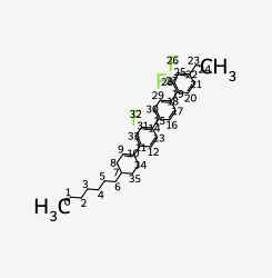 CCCCCCCC1CC=C(c2ccc(-c3ccc(-c4ccc(CC)c(F)c4F)cc3)c(F)c2)CC1